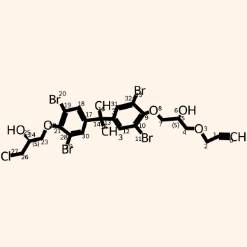 C#CCOC[C@H](O)COc1c(Br)cc(C(C)(C)c2cc(Br)c(OC[C@H](O)CCl)c(Br)c2)cc1Br